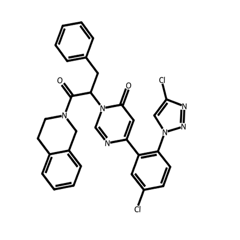 O=C(C(Cc1ccccc1)n1cnc(-c2cc(Cl)ccc2-n2cc(Cl)nn2)cc1=O)N1CCc2ccccc2C1